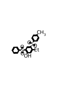 CCc1cc(O)c(S(=O)(=O)c2ccccc2)cc1S(=O)(=O)c1ccc(C)cc1